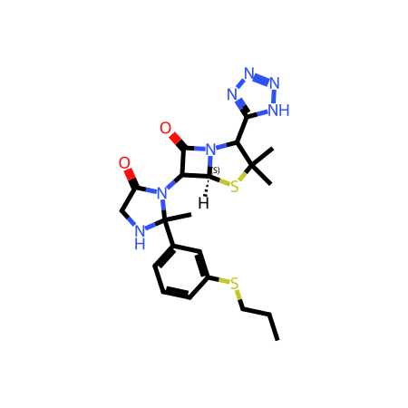 CCCSc1cccc(C2(C)NCC(=O)N2C2C(=O)N3C(c4nnn[nH]4)C(C)(C)S[C@@H]23)c1